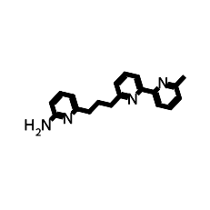 Cc1cccc(-c2cccc(CCCc3cccc(N)n3)n2)n1